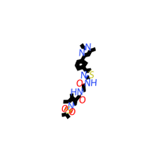 Cc1cc(-c2cccc(-c3csc(NC(=O)CNC(=O)c4cn(S(=O)(=O)C(C)C)c(C)c4C)n3)c2)nc(C)n1